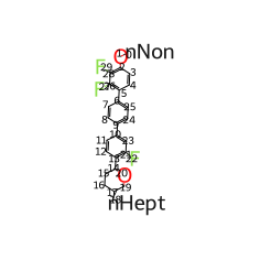 CCCCCCCCCOc1ccc(-c2ccc(-c3ccc(C4CCC(CCCCCCC)CO4)c(F)c3)cc2)c(F)c1F